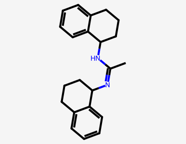 CC(=NC1CCCc2ccccc21)NC1CCCc2ccccc21